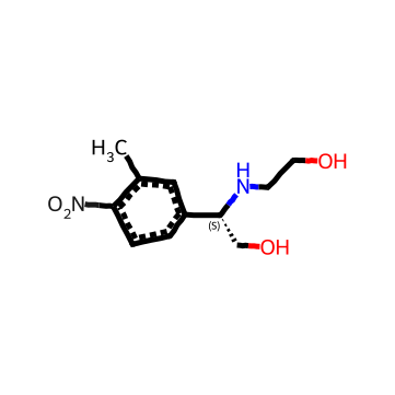 Cc1cc([C@@H](CO)NCCO)ccc1[N+](=O)[O-]